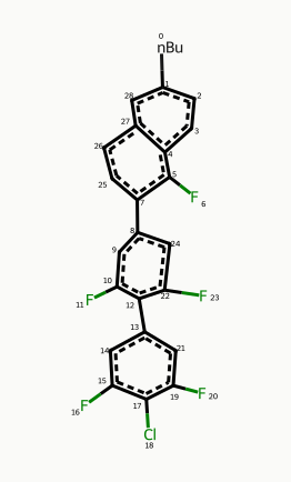 CCCCc1ccc2c(F)c(-c3cc(F)c(-c4cc(F)c(Cl)c(F)c4)c(F)c3)ccc2c1